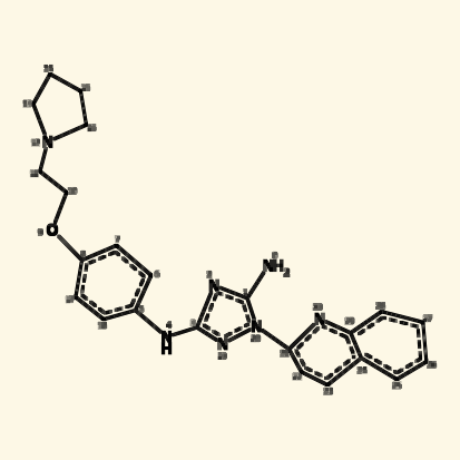 Nc1nc(Nc2ccc(OCCN3CCCC3)cc2)nn1-c1ccc2ccccc2n1